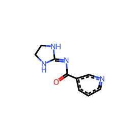 O=C(N=C1NCCN1)c1cccnc1